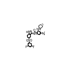 CN(C)c1ccc(C(=O)Nc2n[nH]c3ccc(S(=O)(=O)c4cc(F)cc(F)c4)cc23)c(NC2CCOCC2)c1